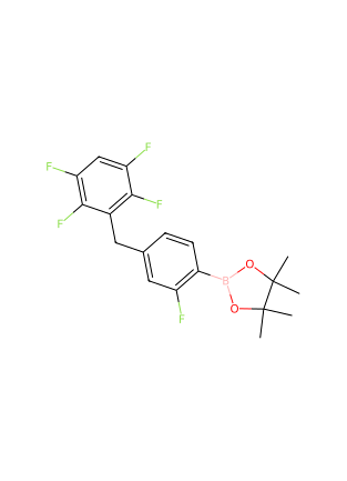 CC1(C)OB(c2ccc(Cc3c(F)c(F)cc(F)c3F)cc2F)OC1(C)C